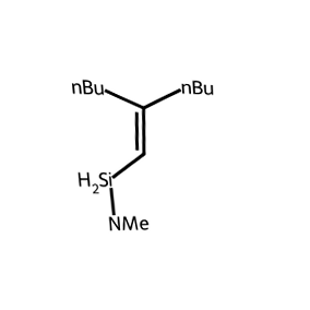 CCCCC(=C[SiH2]NC)CCCC